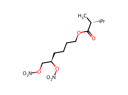 CC(C)[C@@H](C)C(=O)OCCCC[C@H](CO[N+](=O)[O-])O[N+](=O)[O-]